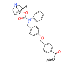 COC(=O)c1ccc(COc2ccc(CN(C(=O)O[C@H]3CN4CCC3CC4)c3ccccc3)cc2)cc1